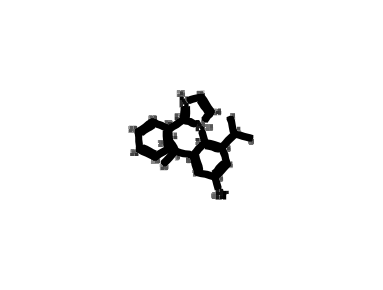 CC(C)c1cc(Br)cc(C(C)C)c1-n1ccnc1-c1ccccc1